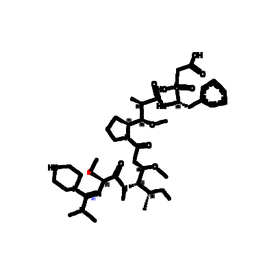 CC[C@H](C)[C@@H]([C@@H](CC(=O)N1CCC[C@H]1[C@H](OC)[C@@H](C)C(=O)N[C@@H](Cc1ccccc1)P(=O)(O)CC(=O)O)OC)N(C)C(=O)[C@@H](/N=C(/N(C)C)N1CCNCC1)C(C)C